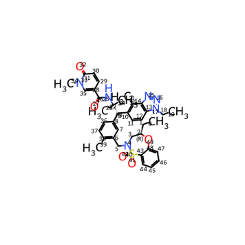 CC[C@@H]1CN(Cc2cc([C@@H](c3ccc4c(nnn4CC)c3C)C(C)(C)NC(=O)c3ccc(=O)n(C)c3)ccc2C)S(=O)(=O)c2ccccc2O1